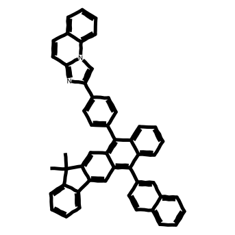 CC1(C)c2ccccc2-c2cc3c(-c4ccc5ccccc5c4)c4ccccc4c(-c4ccc(-c5cn6c(ccc7ccccc76)n5)cc4)c3cc21